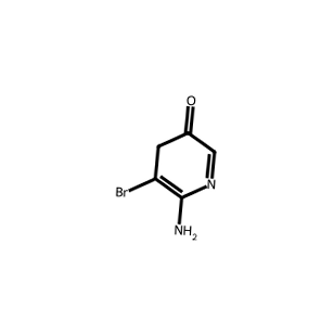 NC1=C(Br)CC(=O)C=N1